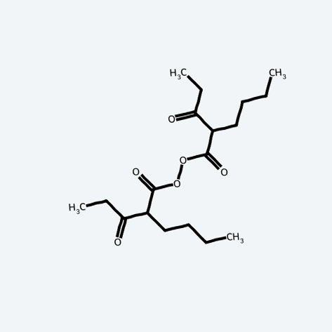 CCCCC(C(=O)CC)C(=O)OOC(=O)C(CCCC)C(=O)CC